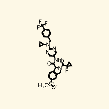 C[S+]([O-])c1ccc2c(c1)CN(C(=O)C1(F)CC1)C2C(=O)Nc1cnc(N(Cc2ccc(C(F)(F)F)cc2)C2CC2)nc1